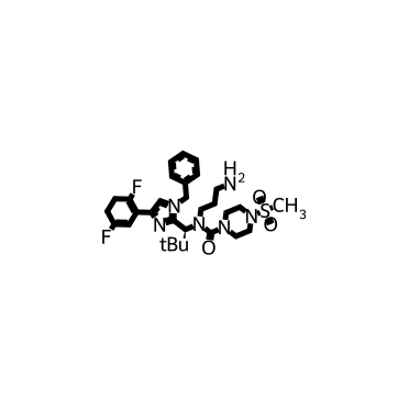 CC(C)(C)[C@H](c1nc(C2=C(F)CCC(F)=C2)cn1Cc1ccccc1)N(CCCN)C(=O)N1CCN(S(C)(=O)=O)CC1